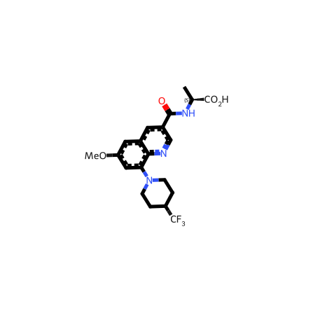 COc1cc(N2CCC(C(F)(F)F)CC2)c2ncc(C(=O)N[C@@H](C)C(=O)O)cc2c1